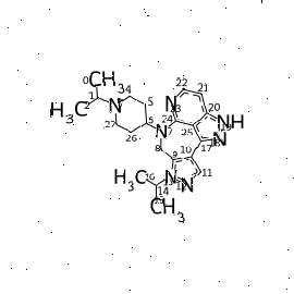 CC(C)N1CCC(N2Cc3c(cnn3C(C)C)-c3n[nH]c4ccnc2c34)CC1